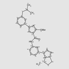 COc1nn(-c2cc(CN(C)C)ccn2)cc1C(=O)Nc1cccc(-c2nnc3n2[C@@H](C)CC3)n1